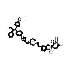 CC/C(=C(\c1ccc(O)cc1)c1ccc(N2CC(CN3CCCN(CCc4ccc5c(c4)CN(C4CCC(=O)NC4=O)C5=O)CC3)C2)cc1)c1ccccc1